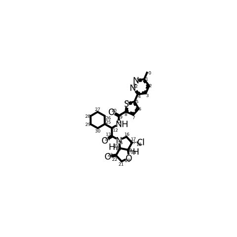 Cc1ccc(-c2ccc(C(=O)NC(C(=O)N3C[C@H](Cl)[C@H]4OCC(=O)[C@H]43)C3CCCCC3)s2)nn1